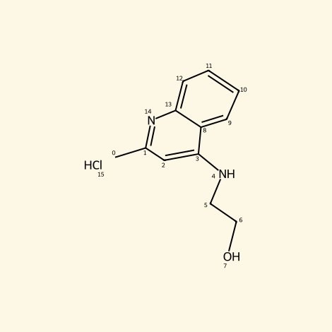 Cc1cc(NCCO)c2ccccc2n1.Cl